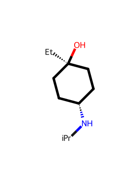 CC[C@]1(O)CC[C@H](NC(C)C)CC1